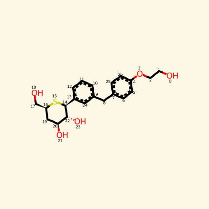 OCCOc1ccc(Cc2cccc([C@@H]3S[C@H](CO)C[C@H](O)[C@H]3O)c2)cc1